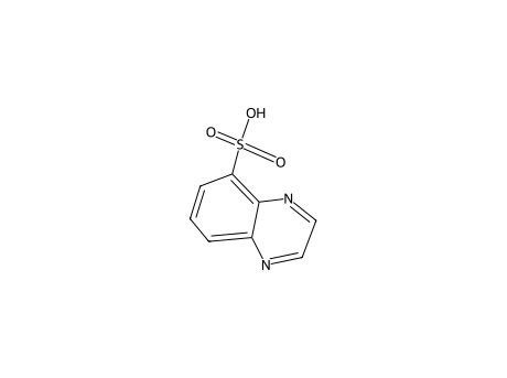 O=S(=O)(O)c1cccc2nccnc12